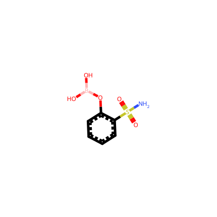 NS(=O)(=O)c1ccccc1OB(O)O